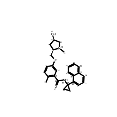 Cc1ccc(OC[C@H]2C[C@@H](O)CN2C)cc1C(=O)NC1(c2cccc3ccccc23)CC1